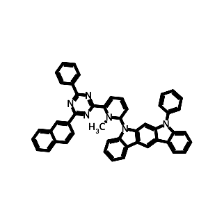 CN1C(c2nc(-c3ccccc3)nc(-c3ccc4ccccc4c3)n2)=CC=CC1n1c2ccccc2c2cc3c4ccccc4n(-c4ccccc4)c3cc21